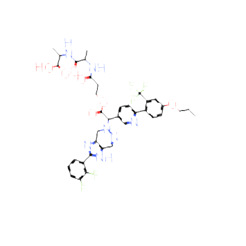 CCCOc1ccc(-c2ccc(C(C(=O)OCCC(=O)NC(C)C(=O)NC(C)C(=O)O)N3Cc4nc(-c5cccc(F)c5F)[nH]c4C=N3)cn2)c(C(F)(F)F)c1